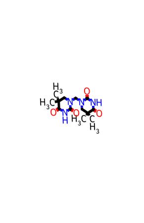 CC1(C)CN(CN2CC(C)(C)C(=O)NC2=O)C(=O)NC1=O